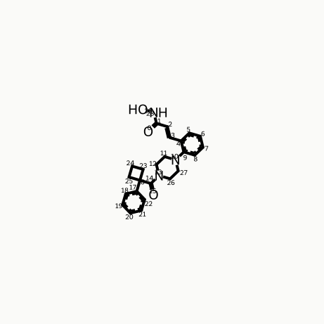 O=C(/C=C/c1ccccc1N1CCN(C(=O)C2(c3ccccc3)CCC2)CC1)NO